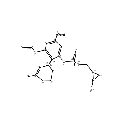 C=COc1cc(CCCCC)cc(OC(=S)NCC2CN2CC)c1[C@@H]1C=C(C)CCC1